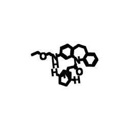 CCOCNc1ccc2c(c1)N(C(=O)CN1[C@H]3CC[C@@H]1CC3)c1ccccc1CC2